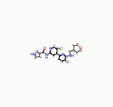 O=C(Nc1cc(-c2ccc(F)c(NCC3CCOCC3)n2)c(Cl)cn1)C1CCNC1